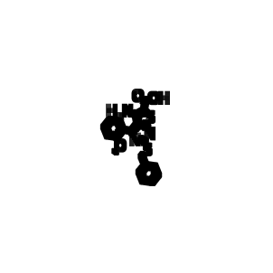 COc1ccccc1-c1nc(SCc2ccccc2)nc2sc(C(=O)O)c(N)c12